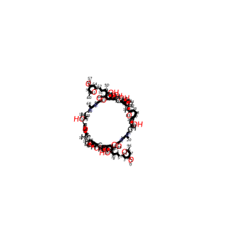 CO[C@H]1C[C@H](CC[C@H](C)[C@H](O)[C@H](C)[C@H]2OC(=O)/C=C/C(C)=C\C[C@H](O)C[C@@H]3C=CC[C@@H](C[C@H](OC)[C@@H](C)[C@@H](O)C[C@@H](O)[C@H](C)[C@@H]([C@@H](C)[C@@H](O)[C@@H](C)CC[C@H]4C[C@H](OC)C[C@H](C)O4)OC(=O)/C=C/C(C)=C/C[C@H](O)CC4C=C[C@H](CO4)C[C@H](OC)[C@@H](C)[C@@H](O)C[C@@H](O)[C@@H]2C)O3)O[C@@H](C)C1